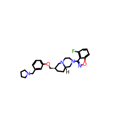 Fc1cccc2onc(N3CCN4C[C@H](COc5cccc(CN6CCCC6)c5)CC[C@H]4C3)c12